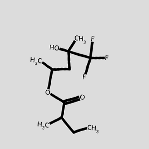 CCC(C)C(=O)OC(C)CC(C)(O)C(F)(F)F